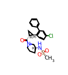 CS(=O)(=O)N[C@@H]1CCCN(C(=O)[C@@H]2C[C@H]2c2ccc(Cl)cc2-c2ccccc2)C1